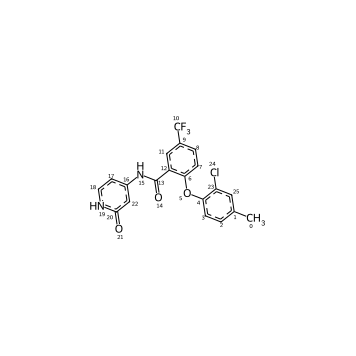 Cc1ccc(Oc2ccc(C(F)(F)F)cc2C(=O)Nc2cc[nH]c(=O)c2)c(Cl)c1